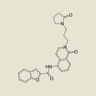 O=C(Nc1cccc2c(=O)n(CCCN3CCCC3=O)ccc12)c1cc2ccccc2o1